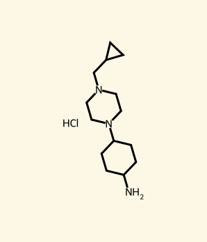 Cl.NC1CCC(N2CCN(CC3CC3)CC2)CC1